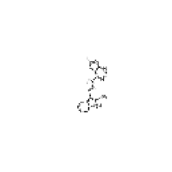 Cc1cc2c(N/N=C/c3c(C(C)C)[nH]c4ccccc34)ncnc2s1